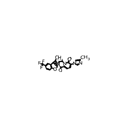 Cc1cn(-c2ccc3n(c2=O)CCN(C[C@]24c5cc(C(F)(F)F)ccc5OC[C@H]2C4C)C3=O)cn1